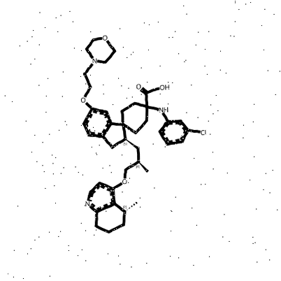 C[C@@H](COc1ccnc2c1[C@H](C)CCC2)C[C@H]1Cc2ccc(OCCN3CCOCC3)cc2C12CCC(Nc1cccc(Cl)c1)(C(=O)O)CC2